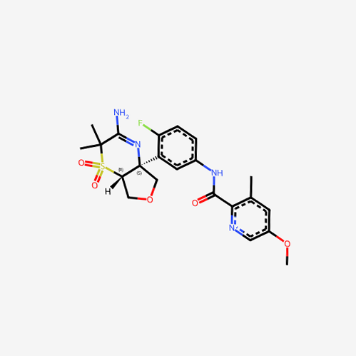 COc1cnc(C(=O)Nc2ccc(F)c([C@]34COC[C@@H]3S(=O)(=O)C(C)(C)C(N)=N4)c2)c(C)c1